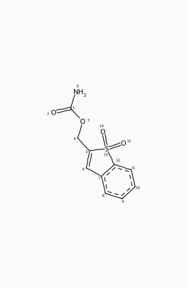 NC(=O)OCC1=Cc2ccccc2S1(=O)=O